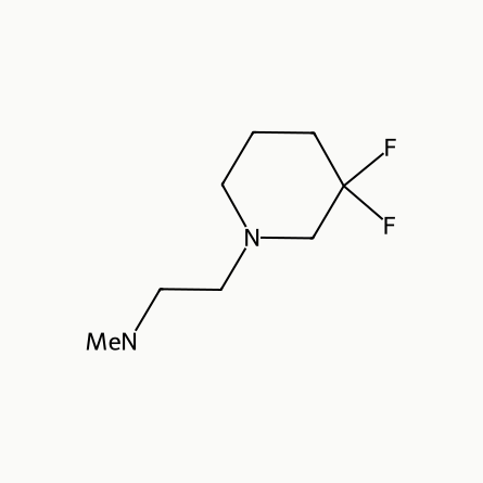 CNCCN1CCCC(F)(F)C1